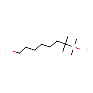 CC(C)(CCCC[C@@H](O)CO)[Si](C)(C)O